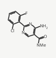 CNC(=O)c1cnc(-c2c(F)cccc2Cl)nc1N